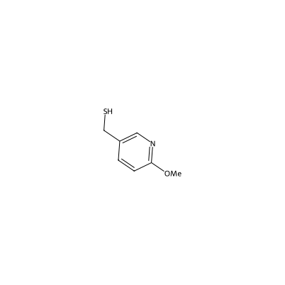 COc1ccc(CS)cn1